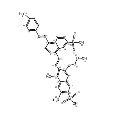 Cc1ccc(N=Nc2ccc(N=Nc3c(SOOO)cc4cc(S(=O)(=O)O)c(N)cc4c3O)c3cc(S(=O)(=O)O)ccc23)cc1